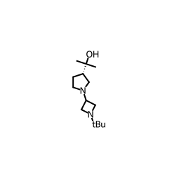 CC(C)(O)[C@H]1CCN(C2CN(C(C)(C)C)C2)C1